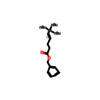 CCC[CH2][Sn](/[CH]=C/CCC(=O)OCc1ccccc1)([CH2]CCC)[CH2]CCC